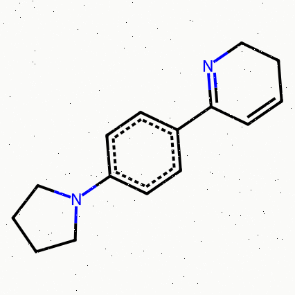 C1=CC(c2ccc(N3CCCC3)cc2)=NCC1